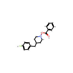 O=C(ON1CCC(Cc2ccc(F)cc2)CC1)c1ccccc1